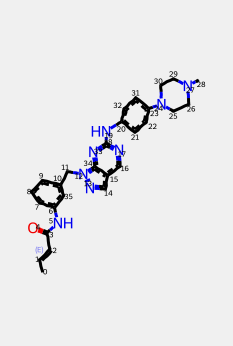 C/C=C/C(=O)Nc1cccc(Cn2ncc3cnc(Nc4ccc(N5CCN(C)CC5)cc4)nc32)c1